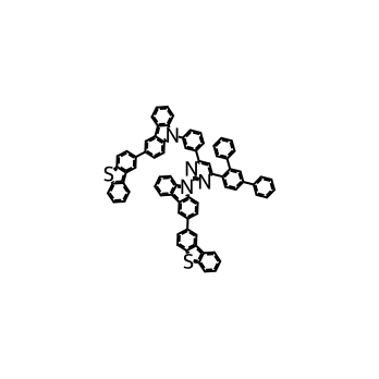 c1ccc(-c2ccc(-c3cc(-c4cccc(-n5c6ccccc6c6cc(-c7ccc8sc9ccccc9c8c7)ccc65)c4)nc(-n4c5ccccc5c5cc(-c6ccc7sc8ccccc8c7c6)ccc54)n3)c(-c3ccccc3)c2)cc1